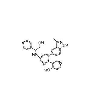 Cc1n[nH]c2ccc(-c3cc(NC(CO)c4ccccc4)cnc3-c3cnccc3O)cc12